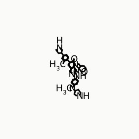 Cc1cc(C2CCNC2)ccc1-c1cc2cnc(Nc3ccc(N(C)C4CCNCC4)cc3)nc2n(CC2CCOCC2)c1=O